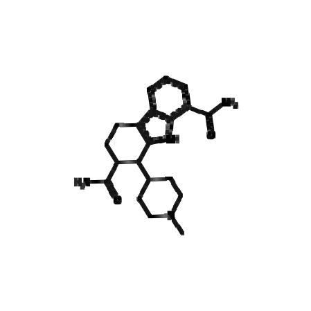 CN1CCC(C2c3[nH]c4c(C(N)=O)cccc4c3CCC2C(N)=O)CC1